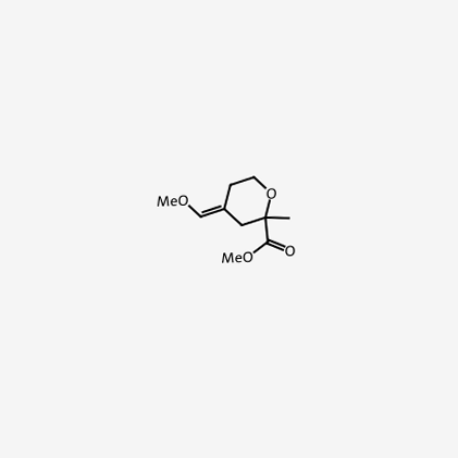 CO/C=C1\CCOC(C)(C(=O)OC)C1